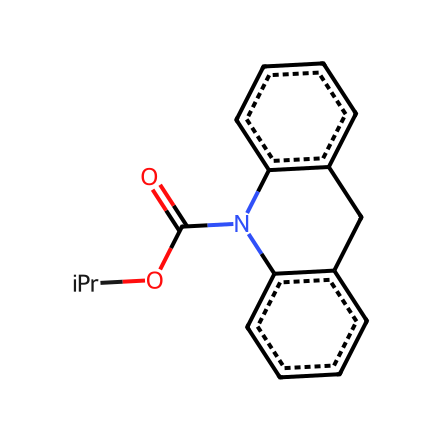 CC(C)OC(=O)N1c2ccccc2Cc2ccccc21